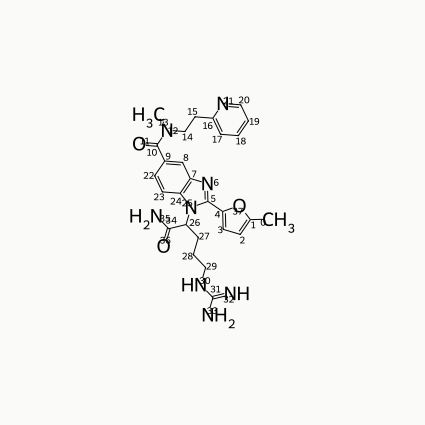 Cc1ccc(-c2nc3cc(C(=O)N(C)CCc4ccccn4)ccc3n2C(CCCNC(=N)N)C(N)=O)o1